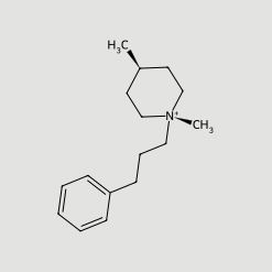 C[C@H]1CC[N@+](C)(CCCc2ccccc2)CC1